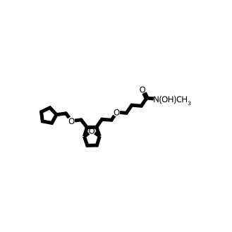 CN(O)C(=O)CCCOCCC1C2CCC(O2)C1COCC1CCCC1